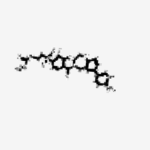 Cc1c(C(=O)N2CCOc3ccc(-c4ccc(N)nc4)cc3C2)ccc(S(=O)(=O)CCNC(=O)OC(C)(C)C)c1F